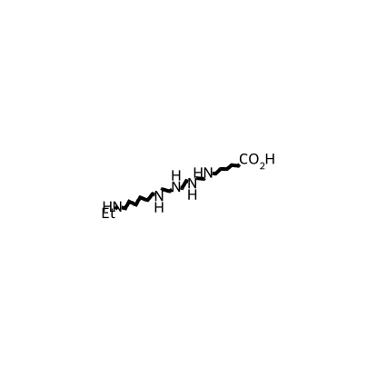 CCNCCCCCCNCCNCCNCCNCCCCCC(=O)O